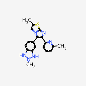 Cc1cccc(-c2nc3sc(C)cn3c2-c2ccc3c(c2)NN(C)N3)n1